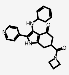 O=C1CC(C(=O)N2CCC2)Cc2[nH]c(-c3ccncc3)c(NC3C=CC=CC3)c21